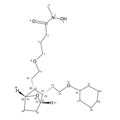 CN(O)C(=O)CCCOCC[C@@H]1[C@H](CCOC2CCCCC2)[C@@H]2CC[C@H]1O2